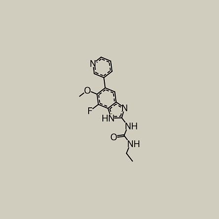 CCNC(=O)Nc1nc2cc(-c3cccnc3)c(OC)c(F)c2[nH]1